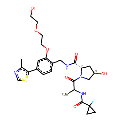 Cc1ncsc1-c1ccc(CNC(=O)[C@@H]2C[C@@H](O)CN2C(=O)C(NC(=O)C2(F)CC2)C(C)(C)C)c(OCCOCCO)c1